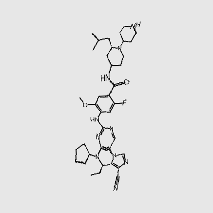 CC[C@@H]1c2c(C#N)ncn2-c2cnc(Nc3cc(F)c(C(=O)NC4CCN(C5CCNCC5)[C@H](CC(C)C)C4)cc3OC)nc2N1C1CCCC1